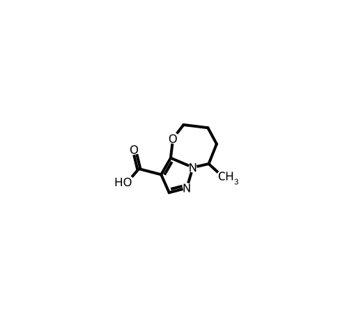 CC1CCCOc2c(C(=O)O)cnn21